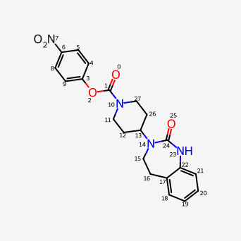 O=C(Oc1ccc([N+](=O)[O-])cc1)N1CCC(N2CCc3ccccc3NC2=O)CC1